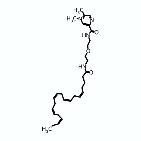 CC/C=C\C/C=C\C/C=C\C/C=C\C/C=C\CCCC(=O)NCCOCCNC(=O)c1c[n+](C)c(C)cn1